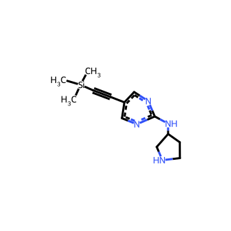 C[Si](C)(C)C#Cc1cnc(NC2CCNC2)nc1